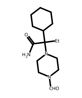 CCC(C(N)=O)(C1CCCCC1)N1CCN(C=O)CC1